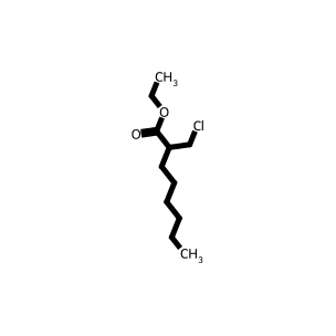 CCCCCCC(CCl)C(=O)OCC